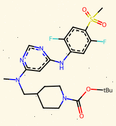 CN(CC1CCN(C(=O)OC(C)(C)C)CC1)c1cc(Nc2cc(F)c(S(C)(=O)=O)cc2F)ncn1